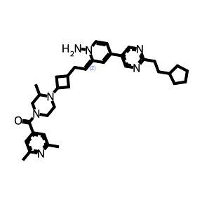 Cc1cc(C(=O)N2CCN(C3CC(C/C=C4/C=C(c5cnc(CCC6CCCC6)nc5)C=CN4N)C3)C(C)C2)cc(C)n1